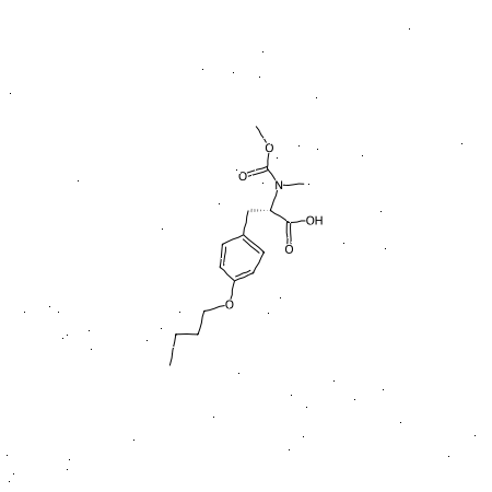 CCCCOc1ccc(C[C@@H](C(=O)O)N(C)C(=O)OC)cc1